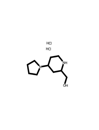 Cl.Cl.OCC1CC(N2CCCC2)CCN1